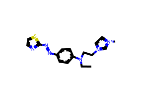 CCN(CCn1cc[n+](C)c1)c1ccc(N=Nc2nccs2)cc1